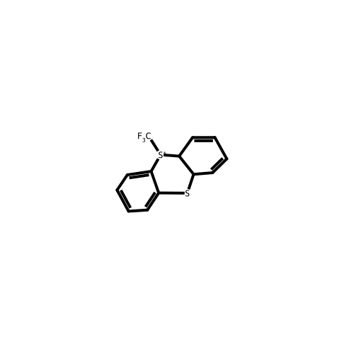 FC(F)(F)[S+]1c2ccccc2SC2C=CC=CC21